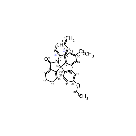 C=C/C=C\C(=C/C)N1C(=O)C2=CCCC=C2C1(c1ccc(OC)cc1)c1ccc(OCC)cc1